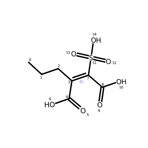 CCC/C(C(=O)O)=C(/C(=O)O)S(=O)(=O)O